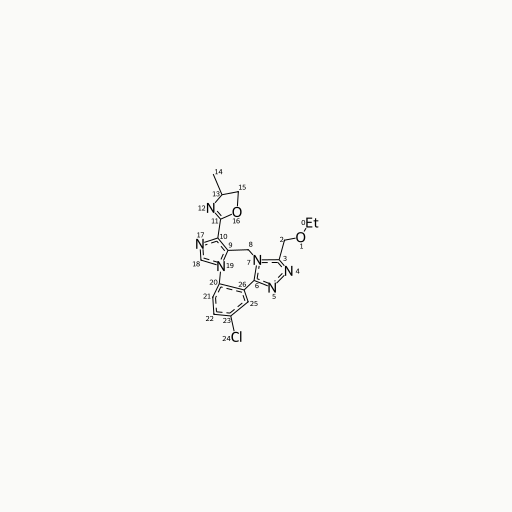 CCOCc1nnc2n1Cc1c(C3=NC(C)CO3)ncn1-c1ccc(Cl)cc1-2